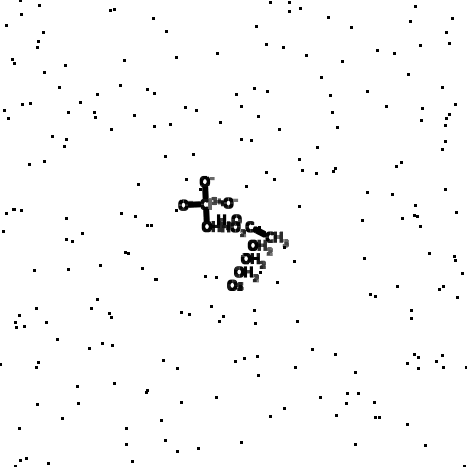 CC(=O)O.O.O.O.O.[O-][Cl+3]([O-])([O-])O.[Os]